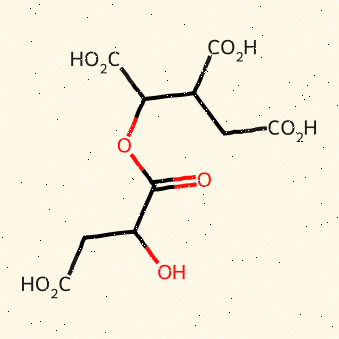 O=C(O)CC(O)C(=O)OC(C(=O)O)C(CC(=O)O)C(=O)O